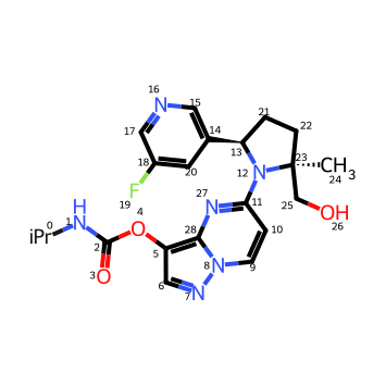 CC(C)NC(=O)Oc1cnn2ccc(N3[C@@H](c4cncc(F)c4)CC[C@@]3(C)CO)nc12